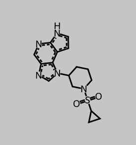 O=S(=O)(C1CC1)N1CCCC(n2cnc3cnc4[nH]ccc4c32)C1